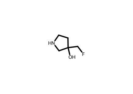 OC1(CF)CCNC1